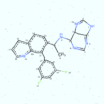 CC(NC1N=CN=C2NC=NC21)c1ccc2cccnc2c1-c1cc(F)cc(F)c1